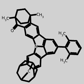 Cc1cccc(C)c1-c1cc2c3cc4c(cc3n3c5cc6c(cc5c(c1)c23)C1CC2CC(C1)CC6C2)C(=O)C1(C)CCC4(C)CC1